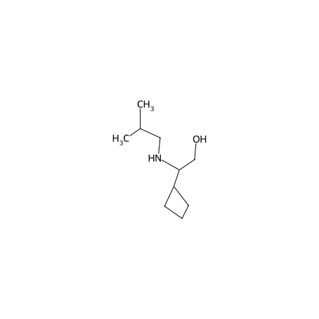 CC(C)CNC(CO)C1CCC1